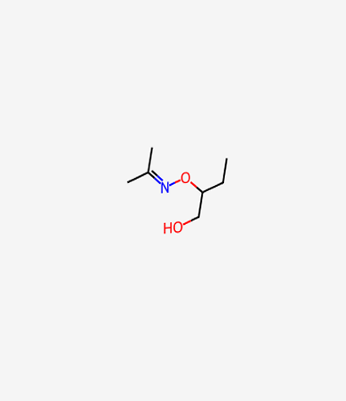 CCC(CO)ON=C(C)C